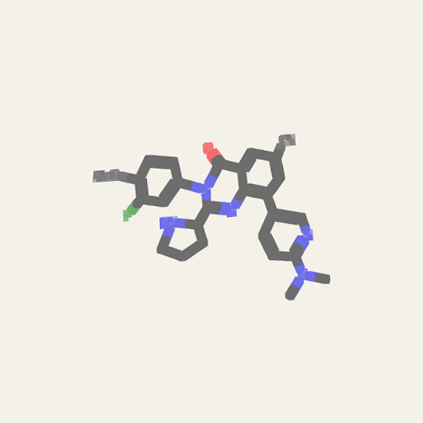 COc1ccc(-n2c(C3CCCN3)nc3c(-c4ccc(N(C)C)nc4)cc(C#N)cc3c2=O)cc1F